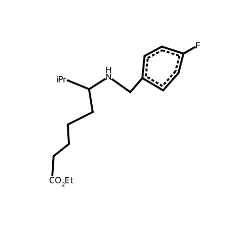 CCOC(=O)CCCCC(NCc1ccc(F)cc1)C(C)C